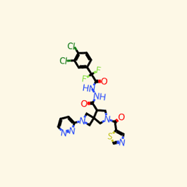 O=C(NNC(=O)C(F)(F)c1ccc(Cl)c(Cl)c1)C1CN(C(=O)c2cncs2)CC12CN(c1cccnn1)C2